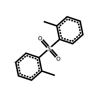 Cc1cc[c]cc1S(=O)(=O)c1ccccc1C